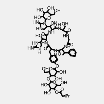 CC(C)CC(=O)OC1C(CO)OC(OC2C(CO)OC(Oc3ccc(CC4NC(=O)C(C(C)c5ccccc5)NC(=O)CNC(=O)C(CO)NC(=O)C(C(O)C5CNC(=N)N5C5OC(CO)C(O)C(O)C5O)NC(=O)C(C(O)C5CNC(=N)N5)NC4=O)cc3)C(O)C2O)C(O)C1O